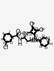 CC(C)(C)CC(NC(=O)c1cccc(Cl)c1)Nc1c(Nc2cccnc2)c(=O)c1=O